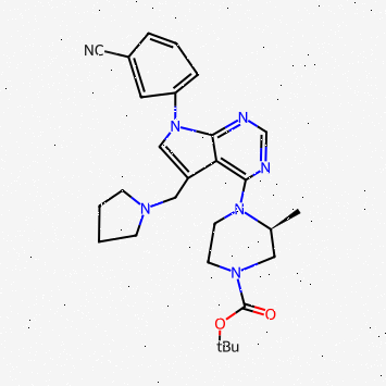 C[C@H]1CN(C(=O)OC(C)(C)C)CCN1c1ncnc2c1c(CN1CCCC1)cn2-c1cccc(C#N)c1